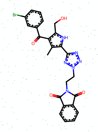 Cc1c(-c2nnn(CCN3C(=O)c4ccccc4C3=O)n2)[nH]c(CO)c1C(=O)c1cccc(Br)c1